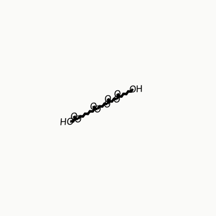 O=C(CO)OCCCCCCC(=O)OCCCOC(=O)CCOC(=O)CCCCCO